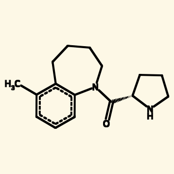 Cc1cccc2c1CCCCN2C(=O)[C@@H]1CCCN1